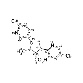 CC1[C@@H](C(=O)O)[C@H](c2ccc(Cl)cn2)CN1c1ccc(Cl)nn1